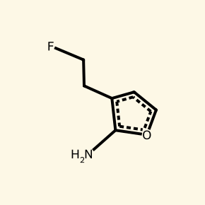 Nc1occc1CCF